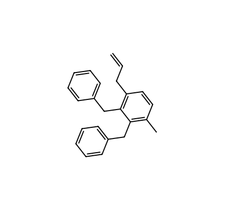 C=CCc1ccc(C)c(Cc2ccccc2)c1Cc1ccccc1